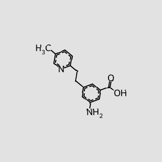 Cc1ccc(CCc2cc(N)cc(C(=O)O)c2)nc1